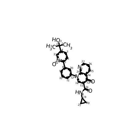 CC(C)(O)c1ccc(-c2cccc(-n3cc(C(=O)NC4CC4)c(=O)c4cccnc43)c2)[n+]([O-])c1